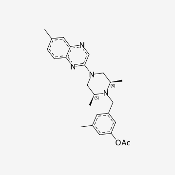 CC(=O)Oc1cc(C)cc(CN2[C@H](C)CN(c3cnc4cc(C)ccc4n3)C[C@@H]2C)c1